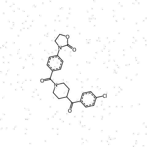 O=C(c1ccc(Cl)cc1)C1CCN(C(=O)c2ccc(N3CCOC3=O)cc2)CC1